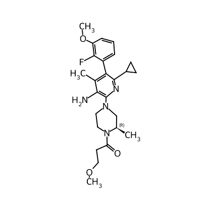 COCCC(=O)N1CCN(c2nc(C3CC3)c(-c3cccc(OC)c3F)c(C)c2N)C[C@H]1C